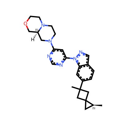 C[C@H]1CC12CC(C)(c1ccc3cnn(-c4cc(N5CCN6CCOC[C@@H]6C5)ncn4)c3c1)C2